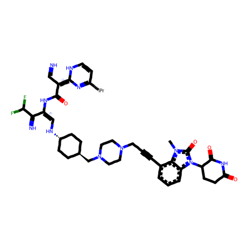 CC(C)C1=N/C(=C(/C=N)C(=O)N/C(=C/N[C@H]2CC[C@H](CN3CCN(CC#Cc4cccc5c4n(C)c(=O)n5C4CCC(=O)NC4=O)CC3)CC2)C(=N)C(F)F)NC=C1